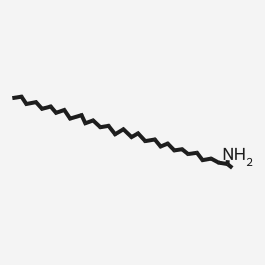 CCCCCCCCCCCCCCCCCCCCCCCCCCCCCC(C)N